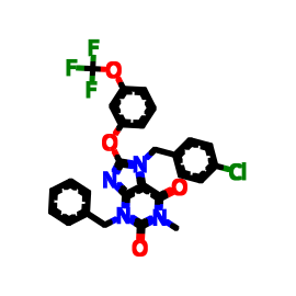 Cn1c(=O)c2c(nc(Oc3cccc(OC(F)(F)F)c3)n2Cc2ccc(Cl)cc2)n(Cc2ccccc2)c1=O